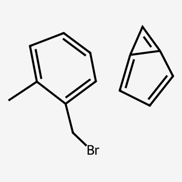 Cc1ccccc1CBr.c1cc2cc-2c1